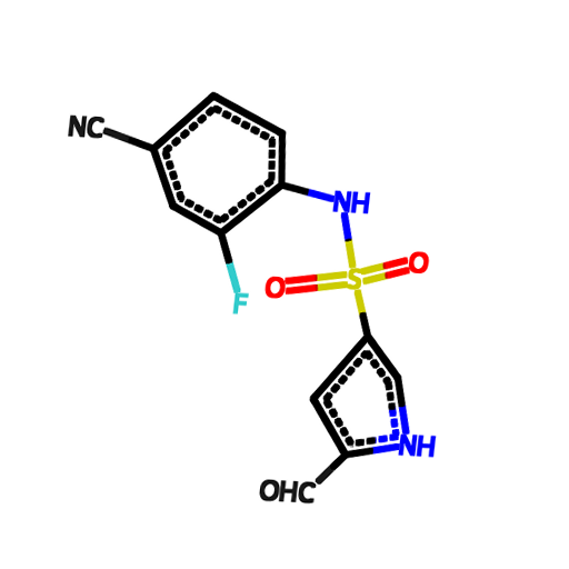 N#Cc1ccc(NS(=O)(=O)c2c[nH]c(C=O)c2)c(F)c1